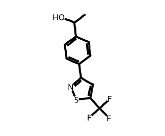 CC(O)c1ccc(-c2cc(C(F)(F)F)sn2)cc1